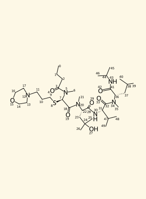 CCCC(=O)N(C)[C@H](SCCCN1CCOCC1)C(=O)N(C)[C@@H](CC(C)(C)O)C(=O)N[C@H](C(=O)N(C)[C@@H](CC(C)C)C(=O)NC(C)C)C(C)C